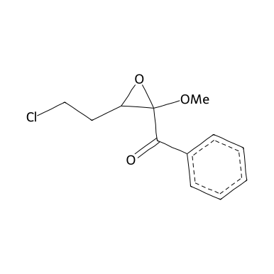 COC1(C(=O)c2ccccc2)OC1CCCl